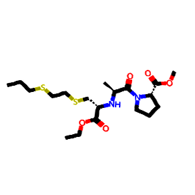 CCCSCCSC[C@H](N[C@@H](C)C(=O)N1CCC[C@H]1C(=O)OC)C(=O)OCC